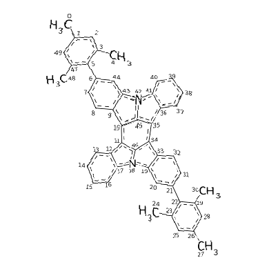 Cc1cc(C)c(-c2ccc3c4c5c6ccccc6n6c7cc(-c8c(C)cc(C)cc8C)ccc7c(c7c8ccccc8n(c3c2)c74)c56)c(C)c1